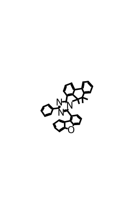 CC1(C)c2ccccc2-c2cccc(-c3nc(-c4ccccc4)nc(-c4cccc5oc6ccccc6c45)n3)c2C1(C)C